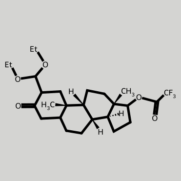 CCOC(OCC)C1C[C@@]2(C)C(CC[C@@H]3[C@H]2CC[C@]2(C)C(OC(=O)C(F)(F)F)CC[C@@H]32)CC1=O